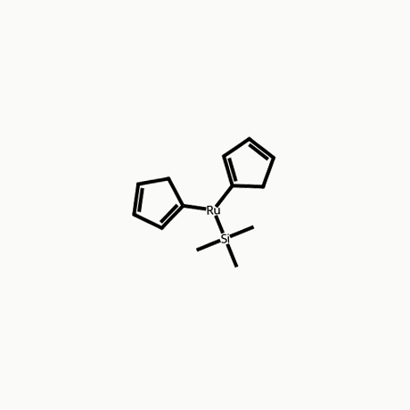 C[Si](C)(C)[Ru]([C]1=CC=CC1)[C]1=CC=CC1